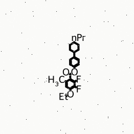 CCCC1CCC(c2ccc(OC(=O)c3c(C)cc(OCC)c(F)c3F)cc2)CC1